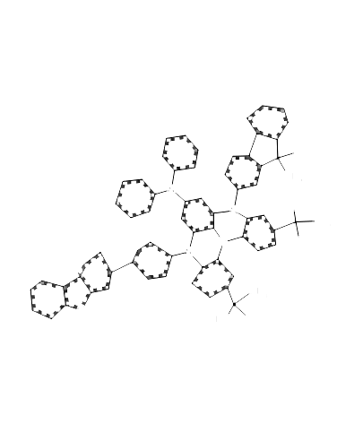 CC(C)(C)c1ccc2c(c1)B1c3ccc(C(C)(C)C)cc3N(c3ccc4c(c3)C(C)(C)c3ccccc3-4)c3cc(N(c4ccccc4)c4ccccc4)cc(c31)N2c1ccc(-c2ccc3c(c2)oc2ccccc23)cc1